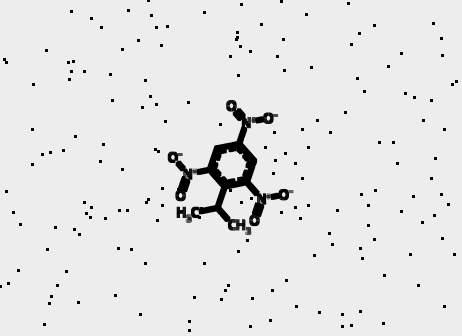 CC(C)c1c([N+](=O)[O-])cc([N+](=O)[O-])cc1[N+](=O)[O-]